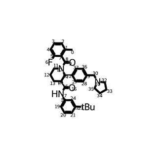 Cc1cccc(F)c1C(=O)N1CCC[C@H](C(=O)Nc2cccc(C(C)(C)C)c2)[C@@H]1c1ccc(CN2CCCC2)cc1